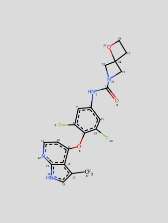 O=C(Nc1cc(F)c(Oc2ccnc3[nH]cc(C(F)(F)F)c23)c(F)c1)N1CC2(CCO2)C1